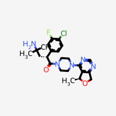 C[C@@H]1OCc2ncnc(N3CCN(C(=O)[C@H](CC(C)(C)N)c4ccc(Cl)c(F)c4)CC3)c21